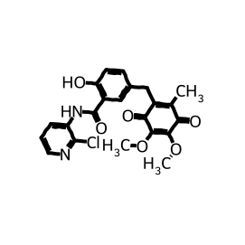 COC1=C(OC)C(=O)C(Cc2ccc(O)c(C(=O)Nc3cccnc3Cl)c2)=C(C)C1=O